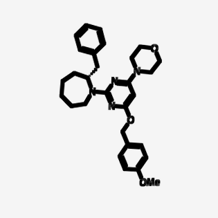 COc1ccc(COc2cc(N3CCOCC3)nc(N3CCCCC[C@@H]3Cc3ccccc3)n2)cc1